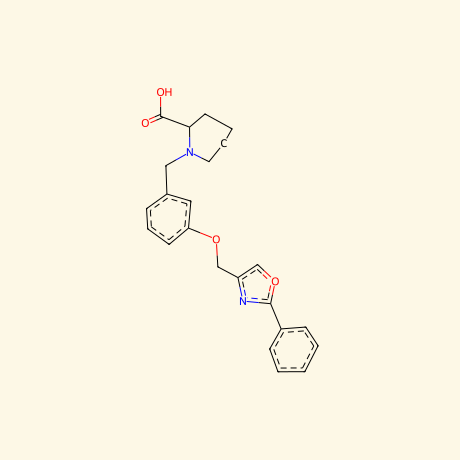 O=C(O)C1CCCCN1Cc1cccc(OCc2coc(-c3ccccc3)n2)c1